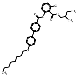 CCCCCCCCOc1ccc(-c2ccc(C(=O)Oc3cccc(Cl)c3C(=O)OCC(C)CC)cc2)cc1